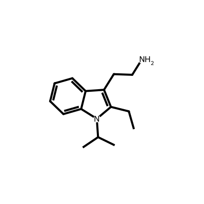 CCc1c(CCN)c2ccccc2n1C(C)C